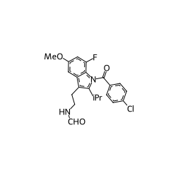 COc1cc(F)c2c(c1)c(CCNC=O)c(C(C)C)n2C(=O)c1ccc(Cl)cc1